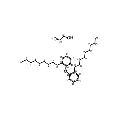 CCCCCCCCCc1ccccc1Oc1ccccc1CCCCCCCCC.OCCO